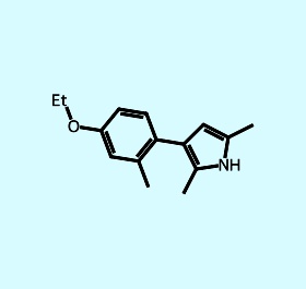 CCOc1ccc(-c2cc(C)[nH]c2C)c(C)c1